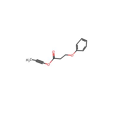 CC#COC(=O)CCOc1ccccc1